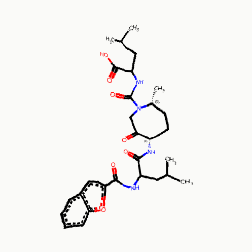 CC(C)CC(NC(=O)N1CC(=O)[C@@H](NC(=O)C(CC(C)C)NC(=O)c2cc3ccccc3o2)CC[C@H]1C)C(=O)O